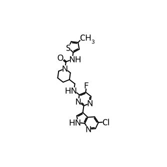 Cc1csc(NC(=O)N2CCCC(CNc3nc(-c4c[nH]c5ncc(Cl)cc45)ncc3F)C2)c1